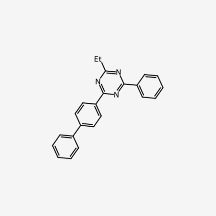 CCc1nc(-c2ccccc2)nc(-c2ccc(-c3ccccc3)cc2)n1